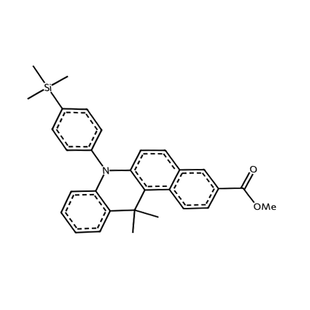 COC(=O)c1ccc2c3c(ccc2c1)N(c1ccc([Si](C)(C)C)cc1)c1ccccc1C3(C)C